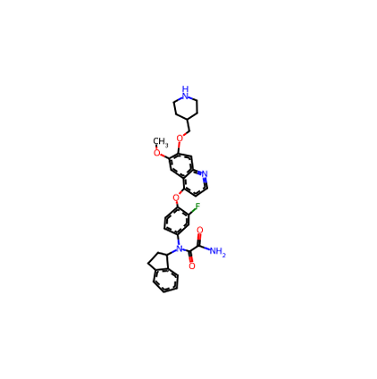 COc1cc2c(Oc3ccc(N(C(=O)C(N)=O)C4CCc5ccccc54)cc3F)ccnc2cc1OCC1CCNCC1